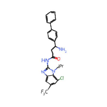 CC(C)n1c(NC(=O)CC(N)c2ccc(-c3ccccc3)cc2)nc2cc(C(F)(F)F)cc(Cl)c21